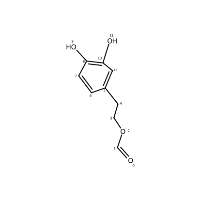 O=COCCc1ccc(O)c(O)c1